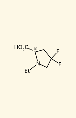 CCN1CC(F)(F)C[C@H]1C(=O)O